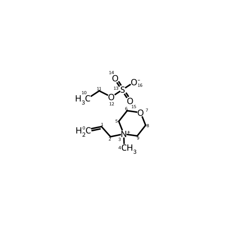 C=CC[N+]1(C)CCOCC1.CCOS(=O)(=O)[O-]